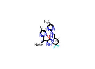 CN/C=C(\C(=N)C(=O)N1CC(F)(F)C[C@@H](C)C1CNc1ncc(C(F)(F)F)cn1)c1ncc(C(F)(F)F)cn1